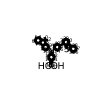 CC1(C)c2ccccc2-c2ccc(N(c3ccc(B(O)O)cc3)c3ccc(-c4cccc5c4sc4ccccc45)cc3)cc21